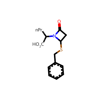 CCCC(C(=O)O)N1C(=O)CC1SCc1ccccc1